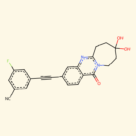 N#Cc1cc(F)cc(C#Cc2ccc3c(=O)n4c(nc3c2)CCC(O)(O)CC4)c1